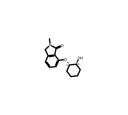 CN1Cc2cccc(O[C@H]3CCCC[C@@H]3O)c2C1=O